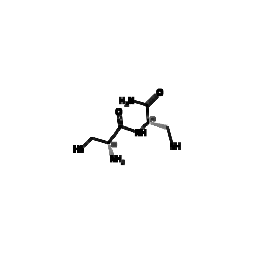 NC(=O)[C@H](CS)NC(=O)[C@H](N)CS